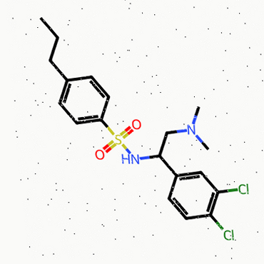 CCCc1ccc(S(=O)(=O)NC(CN(C)C)c2ccc(Cl)c(Cl)c2)cc1